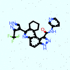 O=C(Nc1cccnc1)c1n[nH]c2ccc3nc(-c4c[nH]nc4C(F)(F)F)c4c(c3c12)CCCC4